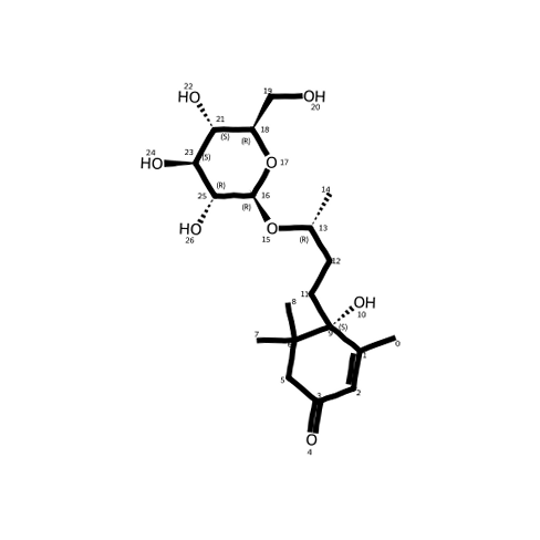 CC1=CC(=O)CC(C)(C)[C@@]1(O)CC[C@@H](C)O[C@@H]1O[C@H](CO)[C@@H](O)[C@H](O)[C@H]1O